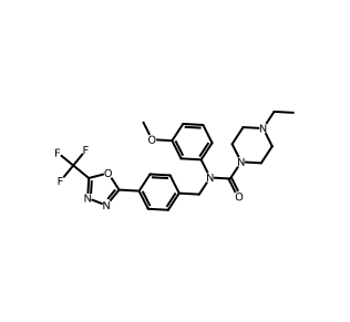 CCN1CCN(C(=O)N(Cc2ccc(-c3nnc(C(F)(F)F)o3)cc2)c2cccc(OC)c2)CC1